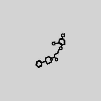 O=C(CCCOc1ccc(Cl)cc1Cl)N1CCC(c2ccccc2)CC1